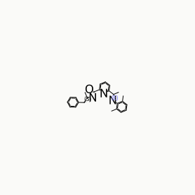 C/C(=N\c1c(C)cccc1C)c1cccc(C2=N[C@@H](Cc3ccccc3)CO2)n1